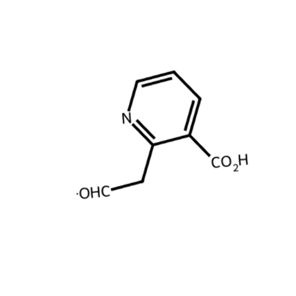 O=[C]Cc1ncccc1C(=O)O